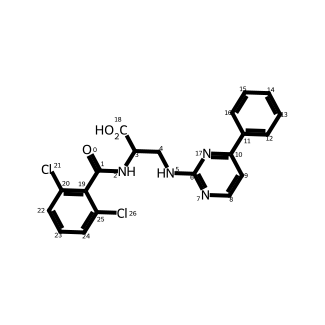 O=C(NC(CNc1nccc(-c2ccccc2)n1)C(=O)O)c1c(Cl)cccc1Cl